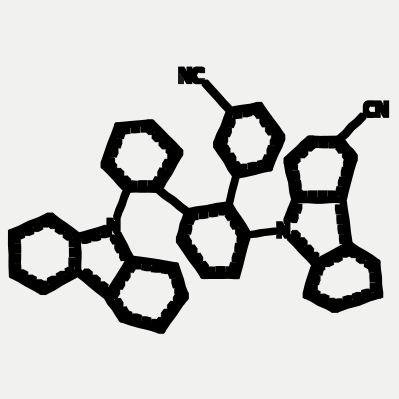 N#Cc1cccc(-c2c(-c3ccccc3-n3c4ccccc4c4ccccc43)cccc2-n2c3ccccc3c3cc(C#N)ccc32)c1